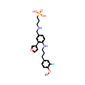 CC(C)Oc1ccc(CCCNc2ccc(CNCCCP(=O)(O)O)cc2-c2ccoc2)cc1F